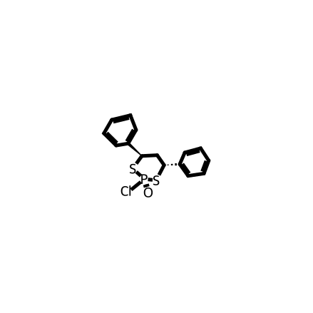 O=P1(Cl)S[C@@H](c2ccccc2)C[C@H](c2ccccc2)S1